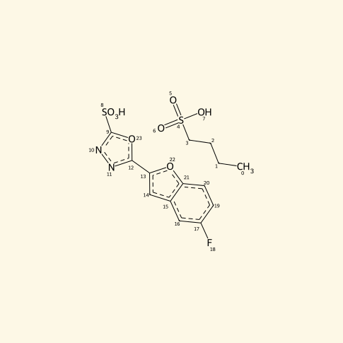 CCCCS(=O)(=O)O.O=S(=O)(O)c1nnc(-c2cc3cc(F)ccc3o2)o1